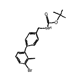 Cc1c(Br)cccc1-c1ccc(CNC(=O)OC(C)(C)C)cc1